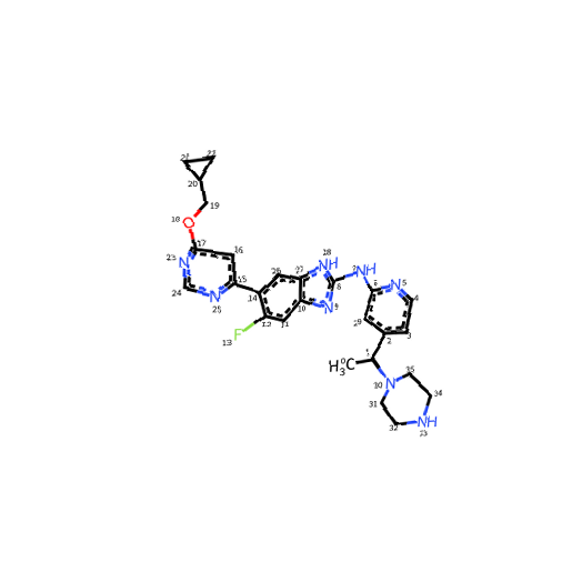 CC(c1ccnc(Nc2nc3cc(F)c(-c4cc(OCC5CC5)ncn4)cc3[nH]2)c1)N1CCNCC1